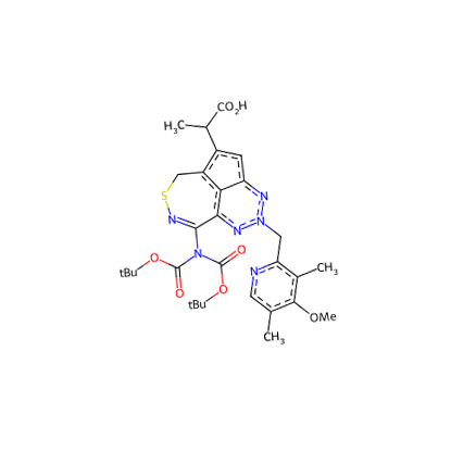 COc1c(C)cnc(Cn2nc3cc(C(C)C(=O)O)c4c-3c(n2)C(N(C(=O)OC(C)(C)C)C(=O)OC(C)(C)C)=NSC4)c1C